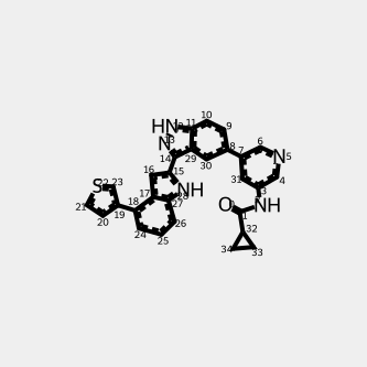 O=C(Nc1cncc(-c2ccc3[nH]nc(-c4cc5c(-c6ccsc6)cccc5[nH]4)c3c2)c1)C1CC1